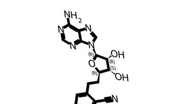 N#Cc1ccccc1CC[C@H]1O[C@@H](n2cnc3c(N)ncnc32)[C@H](O)[C@@H]1O